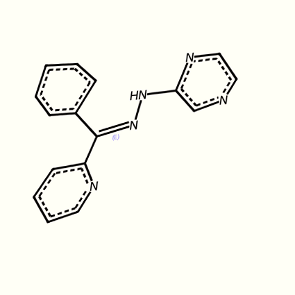 c1ccc(/C(=N\Nc2cnccn2)c2ccccn2)cc1